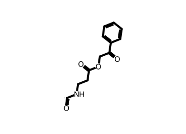 O=[C]NCCC(=O)OCC(=O)c1ccccc1